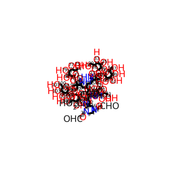 O=COCN1CCN(COC=O)CC(CCC(CC(N=O)C(CCC(NO)C(COC2OC(CO)C(O)C(O)C2O)(COC2OC(CO)C(O)C(O)C2O)COC2OC(CO)C(O)C(O)C2O)CC(NO)C(COC2OC(CO)C(O)C(O)C2O)(COC2OC(CO)C(O)C(O)C2O)COC2OC(CO)C(O)C(O)C2O)NO)(N(COC=O)CC(=O)O)C1